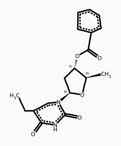 CCc1cn([C@H]2C[C@H](OC(=O)c3ccccc3)[C@@H](C)O2)c(=O)[nH]c1=O